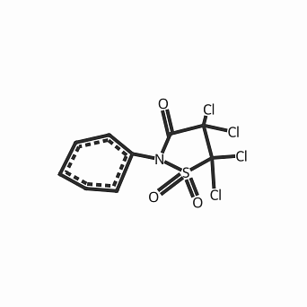 O=C1N(c2ccccc2)S(=O)(=O)C(Cl)(Cl)C1(Cl)Cl